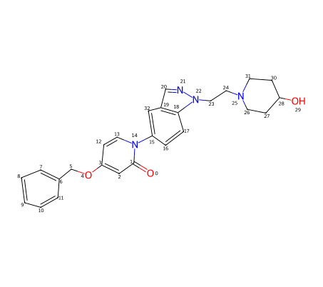 O=c1cc(OCc2ccccc2)ccn1-c1ccc2c(cnn2CCN2CCC(O)CC2)c1